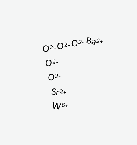 [Ba+2].[O-2].[O-2].[O-2].[O-2].[O-2].[Sr+2].[W+6]